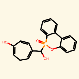 O=P1(C(O)C2=CCC=C(O)C=C2)Oc2ccccc2-c2ccccc21